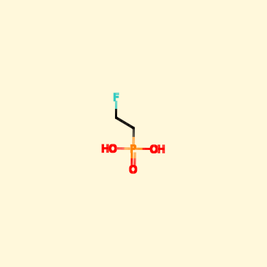 O=P(O)(O)CCF